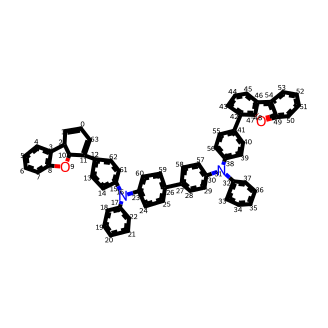 C1=CC2c3ccccc3OC2C(c2ccc(N(c3ccccc3)c3ccc(-c4ccc(N(c5ccccc5)c5ccc(-c6cccc7c6oc6ccccc67)cc5)cc4)cc3)cc2)=C1